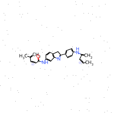 C=C(C)/C=C\C(=O)Nc1ccc2c(c1)N=C(c1ccc(NC(=C)/C=C\C)cc1)C2